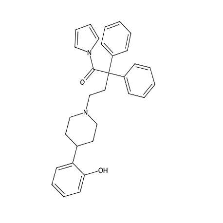 O=C(n1cccc1)C(CCN1CCC(c2ccccc2O)CC1)(c1ccccc1)c1ccccc1